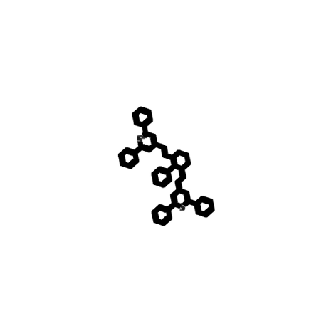 C(/C=C1/CCCC(/C=C/c2cc(-c3ccccc3)[s+]c(-c3ccccc3)c2)=C1c1ccccc1)=C1C=C(c2ccccc2)SC(c2ccccc2)=C1